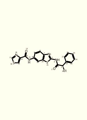 CC[C@@H](C(=O)Nc1nc2ccc(NC(=O)c3cscn3)cc2s1)c1ccccc1